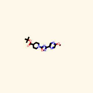 COc1cnc(-c2noc(N3CCC(C(=O)OC(C)(C)C)CC3)n2)cn1